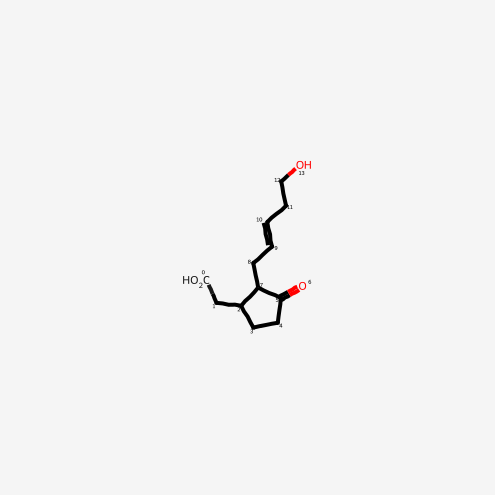 O=C(O)CC1CCC(=O)C1C/C=C/CCO